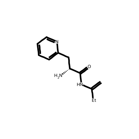 C=C(CC)NC(=O)[C@H](N)Cc1ccccn1